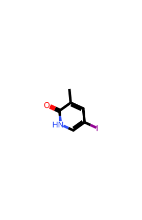 Cc1cc(I)c[nH]c1=O